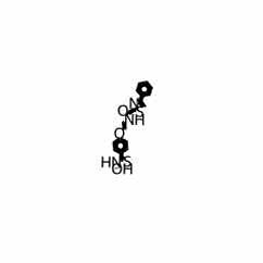 O=C(NCCOc1ccc(C(=S)NO)cc1)c1nc(-c2ccccc2)cs1